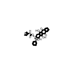 O=C(Nc1ccsc1)OC[C@]12Cc3c(O)c4c(c(O)c3[C@H](C1)OB(c1ccccc1)O2)C(=O)c1ccccc1C4=O